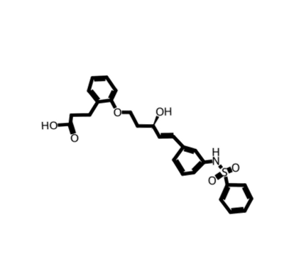 O=C(O)CCc1ccccc1OCC[C@@H](O)/C=C/c1cccc(NS(=O)(=O)c2ccccc2)c1